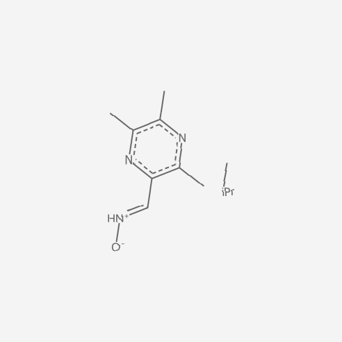 CC(C)C.Cc1nc(C)c(C=[NH+][O-])nc1C